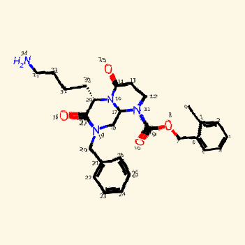 Cc1ccccc1COC(=O)N1CCC(=O)N2C1CN(Cc1ccccc1)C(=O)[C@@H]2CCCCN